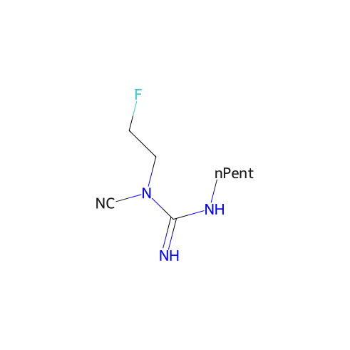 CCCCCNC(=N)N(C#N)CCF